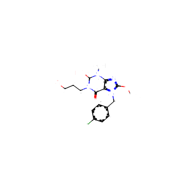 CCCCOc1nc2c(n1Cc1ccc(Cl)cc1)C(=O)N(CCCO)C(O)N2C